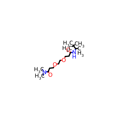 CC(NC(=O)CCOCCOCCC(=O)N(C)C)C(C)(C)C